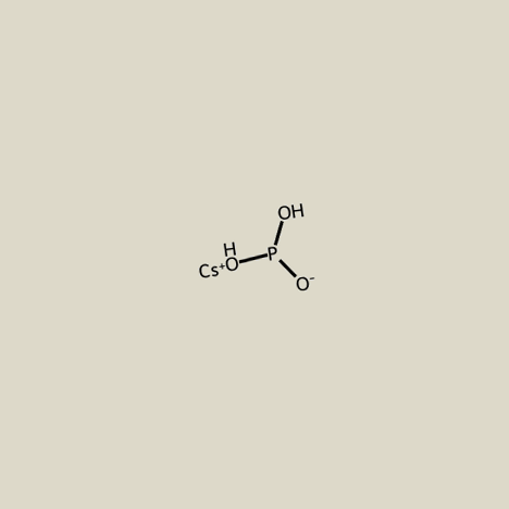 [Cs+].[O-]P(O)O